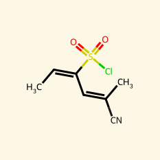 C/C=C(\C=C(/C)C#N)S(=O)(=O)Cl